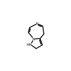 C1=CN2NCC=C2CC=N1